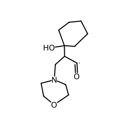 O=[C]C(CN1CCOCC1)C1(O)CCCCC1